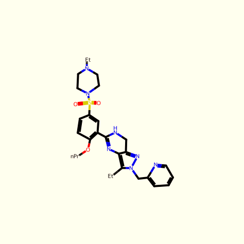 CCCOc1ccc(S(=O)(=O)N2CCN(CC)CC2)cc1C1=Nc2c(nn(Cc3ccccn3)c2CC)CN1